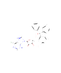 O[C@@H]1[C@H](O)[C@@H](COC(c2ccccc2)(c2ccccc2)c2ccccc2)O[C@H]1n1cnc2c(Cl)ncnc21